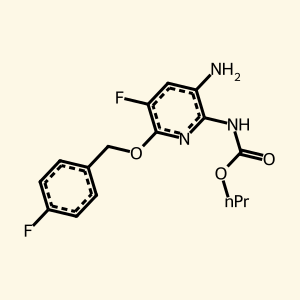 CCCOC(=O)Nc1nc(OCc2ccc(F)cc2)c(F)cc1N